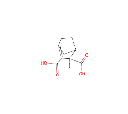 CC1(C(=O)O)C(C(=O)O)=C2CCC1C2